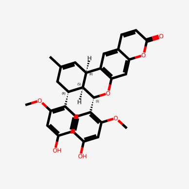 COc1cc(O)ccc1[C@H]1Oc2cc3oc(=O)ccc3cc2[C@@H]2C=C(C)C[C@@H](c3ccc(O)cc3OC)[C@H]12